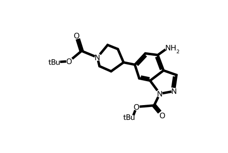 CC(C)(C)OC(=O)N1CCC(c2cc(N)c3cnn(C(=O)OC(C)(C)C)c3c2)CC1